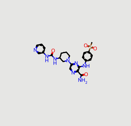 CS(=O)(=O)c1ccc(Nc2nc(N3CCCC(NC(=O)Nc4cccnc4)C3)cnc2C(N)=O)cc1